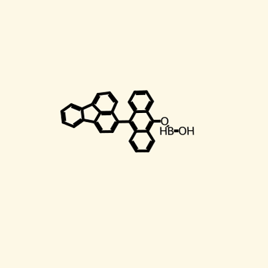 OBOc1c2ccccc2c(-c2ccc3c4c(cccc24)-c2ccccc2-3)c2ccccc12